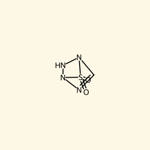 O=S1(=O)N2C=NN1N2